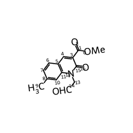 COC(=O)c1cc2ccc(C)cc2n(CC=O)c1=O